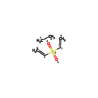 C=CS(=O)(=O)C=C.CC